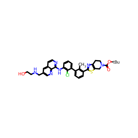 Cc1c(-c2nc3c(s2)CN(C(=O)OC(C)(C)C)CC3)cccc1-c1cccc(Nc2nccc3cc(CNCCO)cnc23)c1Cl